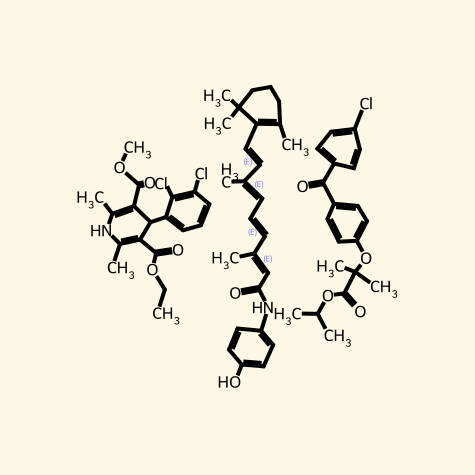 CC(C)OC(=O)C(C)(C)Oc1ccc(C(=O)c2ccc(Cl)cc2)cc1.CC1=C(/C=C/C(C)=C/C=C/C(C)=C/C(=O)Nc2ccc(O)cc2)C(C)(C)CCC1.CCOC(=O)C1=C(C)NC(C)=C(C(=O)OC)C1c1cccc(Cl)c1Cl